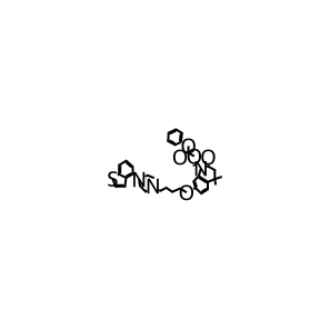 CC1(C)CC(=O)N(COC(=O)Oc2ccccc2)c2cc(OCCCCN3CCN(c4cccc5sccc45)CC3)ccc21